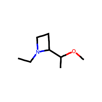 CCN1CCC1C(C)OC